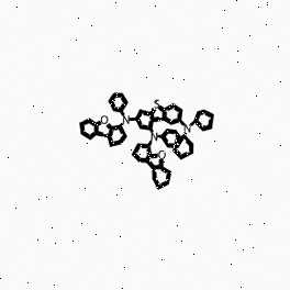 c1ccc(N(c2ccccc2)c2ccc3sc4cc(N(c5ccccc5)c5cccc6c5oc5ccccc56)cc(N(c5ccccc5)c5cccc6c5oc5ccccc56)c4c3c2)cc1